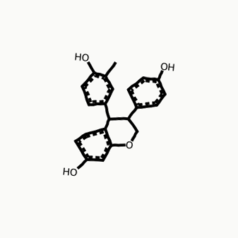 Cc1cc(C2c3ccc(O)cc3OCC2c2ccc(O)cc2)ccc1O